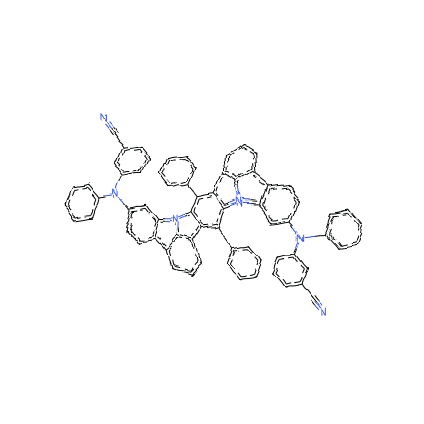 N#Cc1cccc(N(c2ccccc2)c2ccc3c4cccc5c6c(-c7ccccc7)c7c(c(-c8ccccc8)c6n(c3c2)c45)c2cccc3c4ccc(N(c5ccccc5)c5cccc(C#N)c5)cc4n7c32)c1